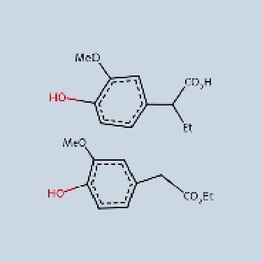 CCC(C(=O)O)c1ccc(O)c(OC)c1.CCOC(=O)Cc1ccc(O)c(OC)c1